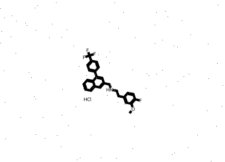 COc1cc(CCNCc2cc(-c3ccc(C(F)(F)F)cc3)c3ccccc3c2)ccc1F.Cl